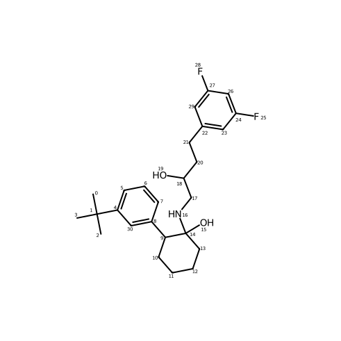 CC(C)(C)c1cccc(C2CCCCC2(O)NCC(O)CCc2cc(F)cc(F)c2)c1